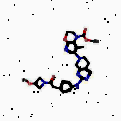 Cc1c(N2CCc3cnc(Nc4ccc(CC(=O)N5CC(OC(C)C)C5)cc4)nc3C2)cnc2c1N(C(=O)OC(C)(C)C)CCO2